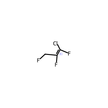 FC/C(F)=C(/F)Cl